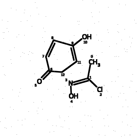 CC(Cl)=NO.O=C1C=CC(O)=CC1